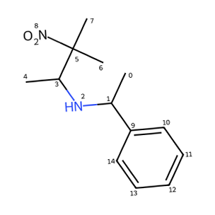 CC(NC(C)C(C)(C)[N+](=O)[O-])c1ccccc1